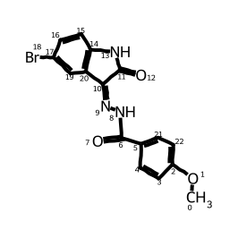 COc1ccc(C(=O)NN=C2C(=O)Nc3ccc(Br)cc32)cc1